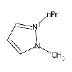 CCC[n+]1cccn1C